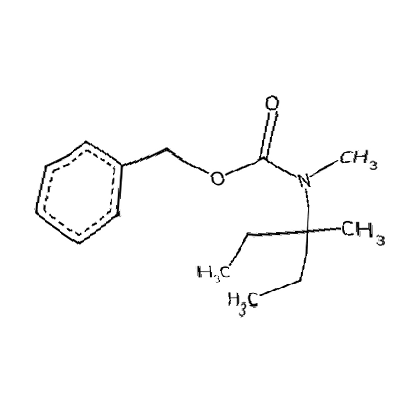 CCC(C)(CC)N(C)C(=O)OCc1ccccc1